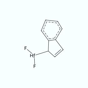 [F][Hf]([F])[CH]1C=Cc2ccccc21